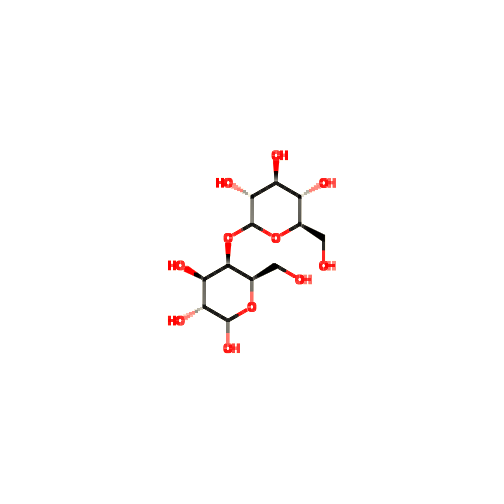 OC[C@H]1OC(O[C@@H]2[C@H](O)[C@@H](O)C(O)O[C@@H]2CO)[C@H](O)[C@@H](O)[C@@H]1O